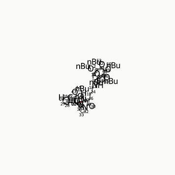 CCCCOC[C@H]1O[C@@](OCCCC)(C(F)(F)CNCCCC[C@H](NC(=O)OCc2ccccc2)C(=O)N2CCC[C@H]2C(=O)N[C@@H](C)C(=O)OCCCC)[C@H](OCCCC)[C@@H](OCCCC)[C@H]1OCCCC